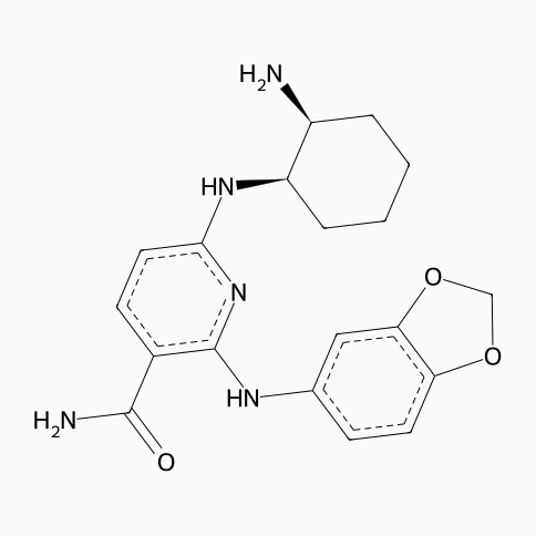 NC(=O)c1ccc(N[C@@H]2CCCC[C@@H]2N)nc1Nc1ccc2c(c1)OCO2